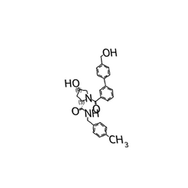 Cc1ccc(CNC(=O)[C@@H]2C[C@@H](O)CN2C(=O)c2cccc(-c3ccc(CO)cc3)c2)cc1